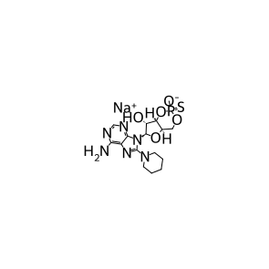 Nc1ncnc2c1nc(N1CCCCC1)n2[C@@H]1O[C@@H]2COP([O-])(=S)O[C@H]2[C@H]1O.[Na+]